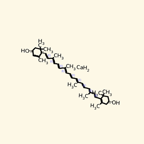 CC1=C[C@H](O)CC(C)(C)[C@H]1/C=C/C(C)=C/C=C/C(C)=C/C=C/C=C(C)/C=C/C=C(C)/C=C/C1=C(C)C[C@@H](O)CC1(C)C.[CaH2]